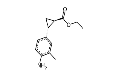 CCOC(=O)[C@@H]1C[C@H]1c1ccc(N)c(C)c1